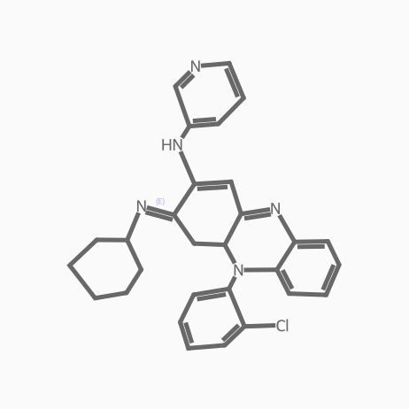 Clc1ccccc1N1c2ccccc2N=C2C=C(Nc3cccnc3)/C(=N/C3CCCCC3)CC21